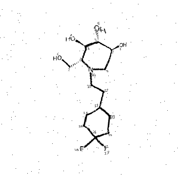 OC[C@@H]1[C@@H](O)[C@H](O)[C@@H](O)CN1CCC1CCC(F)(F)CC1